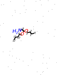 CCCCOC(CN)OCCCC